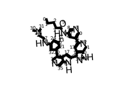 CCCCC(=O)Nc1cncc(-c2cc3c(-c4cc5c(-c6cc(F)cc(NCCN(C)C)c6)cncc5[nH]4)n[nH]c3cn2)c1